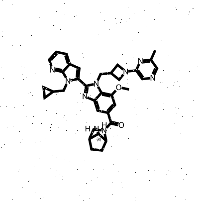 COc1cc(C(=O)N2CC3CCC2[C@@H]3N)cc2nc(-c3cc4cccnc4n3CC3CC3)n(CC3CN(c4cncc(C)n4)C3)c12